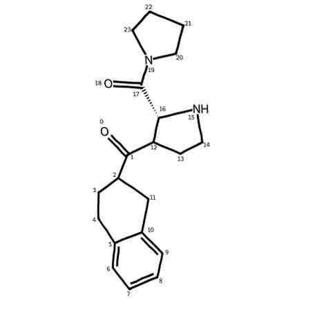 O=C(C1CCc2ccccc2C1)C1CCN[C@H]1C(=O)N1CCCC1